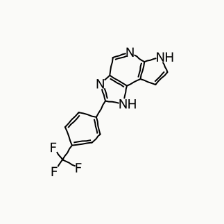 FC(F)(F)c1ccc(-c2nc3cnc4[nH]ccc4c3[nH]2)cc1